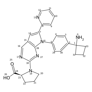 NC1(c2ccc(-n3c(-c4ccccn4)cc4cnc(N5CCC[C@H]5C(=O)O)nc43)cc2)CCC1